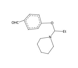 CCC(Oc1ccc(C=O)cc1)N1CCCCC1